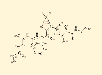 C=CCNC(=O)C(=O)C(CCCC)NC(=O)[C@@H]1C2C(CN1C(=O)[C@@H](NC(=O)N[C@H](COC(=O)NC(C)C)C(C)(C)C)C1(C)CCCCC1)C2(C)C